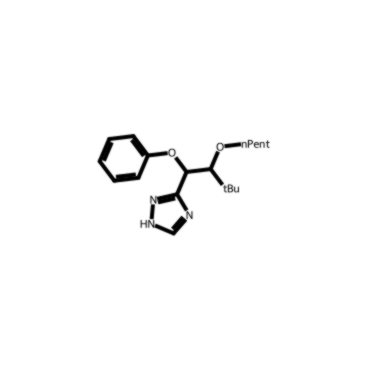 CCCCCOC(C(Oc1ccccc1)c1nc[nH]n1)C(C)(C)C